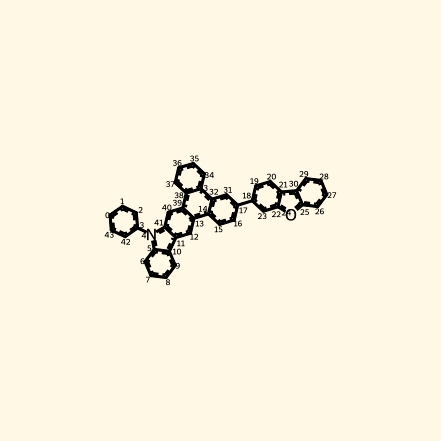 c1ccc(-n2c3ccccc3c3cc4c5ccc(-c6ccc7c(c6)oc6ccccc67)cc5c5ccccc5c4cc32)cc1